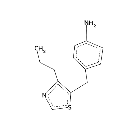 CCCc1ncsc1Cc1ccc(N)cc1